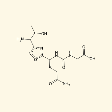 CC(O)C(N)c1noc([C@H](CCC(N)=O)NC(=O)NCC(=O)O)n1